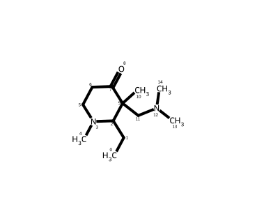 CCC1N(C)CCC(=O)C1(C)CN(C)C